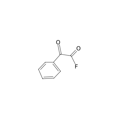 O=C(F)C(=O)c1ccccc1